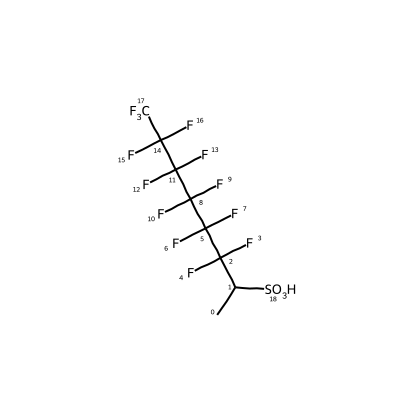 CC(C(F)(F)C(F)(F)C(F)(F)C(F)(F)C(F)(F)C(F)(F)F)S(=O)(=O)O